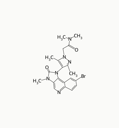 Cc1nn(CC(=O)N(C)C)c(C)c1-n1c(=O)n(C)c2cnc3ccc(Br)cc3c21